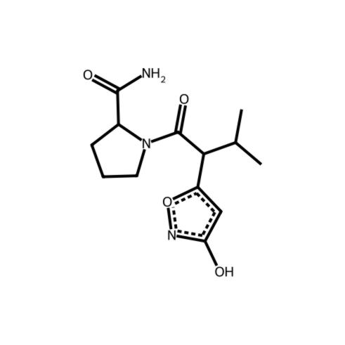 CC(C)C(C(=O)N1CCCC1C(N)=O)c1cc(O)no1